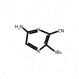 CC(C)(C)c1ncc(N)nc1C#N